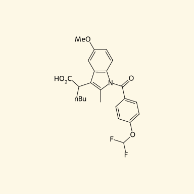 CCCCC(C(=O)O)c1c(C)n(C(=O)c2ccc(OC(F)F)cc2)c2ccc(OC)cc12